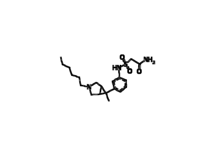 CCCCCCN1CC2C(C1)C2(C)c1cccc(NS(=O)(=O)CC(N)=O)c1